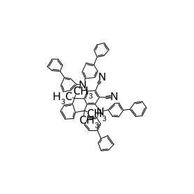 CC1(C)c2ccccc2C(C)(C)c2c(N(c3ccc(-c4ccccc4)cc3)c3cccc(-c4ccccc4)c3)c(C#N)c(C#N)c(N(c3ccc(-c4ccccc4)cc3)c3cccc(-c4ccccc4)c3)c21